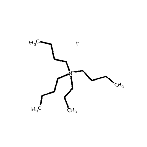 CCCC[N+](CCC)(CCCC)CCCC.[I-]